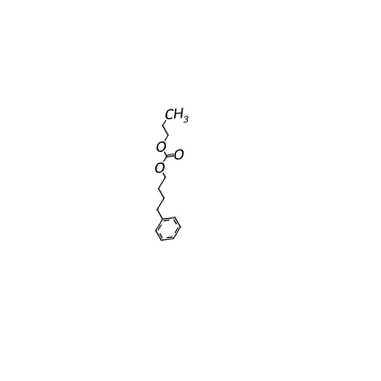 CCCOC(=O)OCCCCc1ccccc1